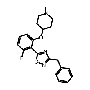 Fc1cccc(OC2CCNCC2)c1-c1nc(Cc2ccccc2)no1